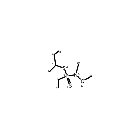 CCC(C)SP(=S)(CC)N(C)OC